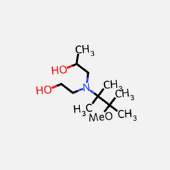 COC(C)(C)C(C)(C)N(CCO)CC(C)O